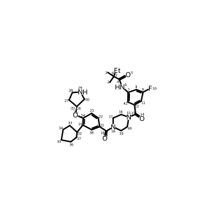 CCC(C)(C)C(=O)Nc1cc(F)cc(C(=O)N2CCN(C(=O)c3ccc(O[C@H]4CCNC4)c(C4CCCCC4)c3)CC2)c1